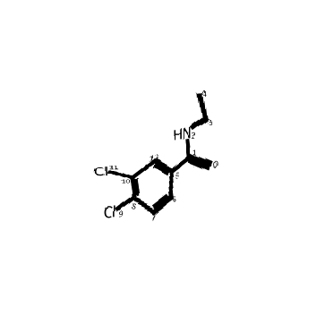 C=C(NCC)c1ccc(Cl)c(Cl)c1